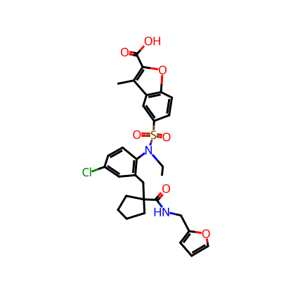 CCN(c1ccc(Cl)cc1CC1(C(=O)NCc2ccco2)CCCC1)S(=O)(=O)c1ccc2oc(C(=O)O)c(C)c2c1